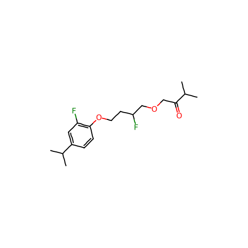 CC(C)C(=O)COCC(F)CCOc1ccc(C(C)C)cc1F